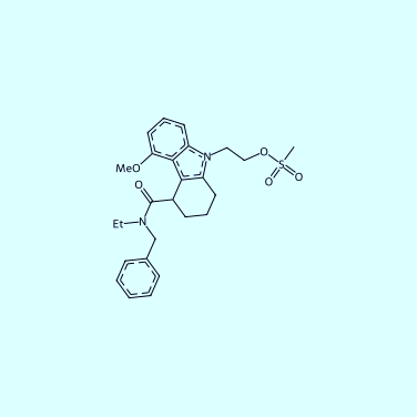 CCN(Cc1ccccc1)C(=O)C1CCCc2c1c1c(OC)cccc1n2CCOS(C)(=O)=O